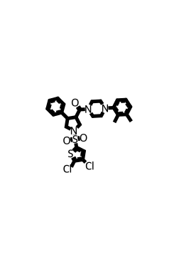 Cc1cccc(N2CCN(C(=O)C3CN(S(=O)(=O)c4cc(Cl)c(Cl)s4)CC3c3ccccc3)CC2)c1C